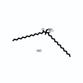 CCCCCCCCCCCCCCCC(=O)C(C)(CN)C(=O)CCCCCCCCCCCCCCC.Cl